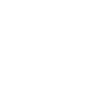 C=CCCCCCC(Cl)C=CCCCCCCCCl